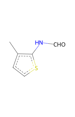 Cc1ccsc1NC=O